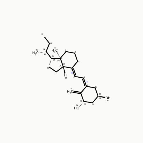 C=C1/C(=C\C=C2/CCC[C@]3(C)[C@@H]([C@H](C)CI)CC[C@@H]23)C[C@@H](O)C[C@@H]1O